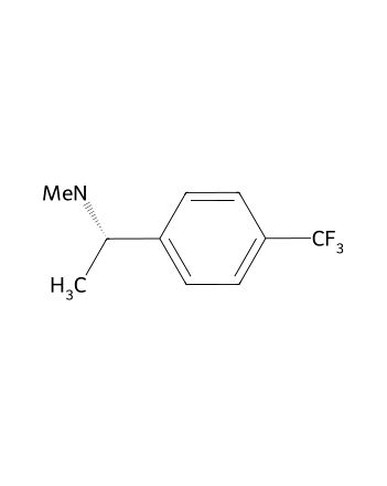 CN[C@@H](C)c1ccc(C(F)(F)F)cc1